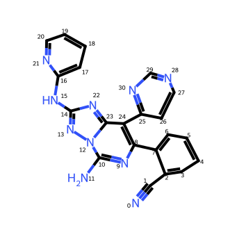 N#Cc1ccccc1-c1nc(N)n2nc(Nc3ccccn3)nc2c1-c1ccncn1